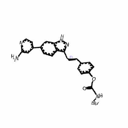 CC(C)(C)NC(=O)Oc1ccc(/C=C/c2n[nH]c3cc(-c4ccnc(N)c4)ccc23)cc1